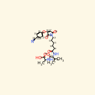 CC(NC(=O)[C@@H](NC(=O)CCCCCN1C(=O)C=C(Oc2ccc(C#N)cc2)C1=O)C(C)C)C(=O)O